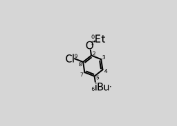 CCOc1ccc([C](C)CC)cc1Cl